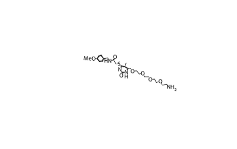 COc1ccc(CNC(=O)CSc2nc(=O)[nH]c(COCCOCCOCCOCCN)c2C)cc1